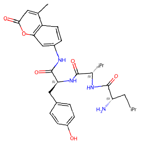 Cc1cc(=O)oc2cc(NC(=O)[C@H](Cc3ccc(O)cc3)NC(=O)[C@@H](NC(=O)[C@@H](N)CC(C)C)C(C)C)ccc12